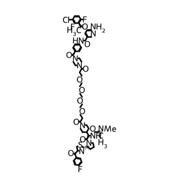 CN[C@H](C)C(=O)N[C@@H](C(=O)N1CCC[C@@H]1C1=NC(C(=O)c2ccc(F)cc2)CS1)C1CCN(C(=O)CCOCCOCCOCCOCCC(=O)N2CCN(C(=O)c3ccc(NC(=O)c4cnc(N)c(O[C@H](C)c5c(F)ccc(Cl)c5F)c4)cc3)CC2)CC1